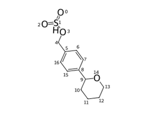 O=[SH](=O)OCc1ccc(C2CCCCO2)cc1